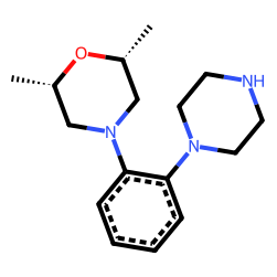 C[C@@H]1CN(c2ccccc2N2CCNCC2)C[C@H](C)O1